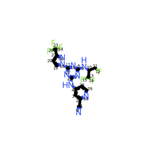 N#Cc1cc(Nc2nc(NC(CF)C(F)F)nc(-n3ccc(C(F)(F)F)n3)n2)ccn1